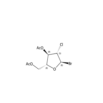 CC(=O)OC[C@H]1O[C@H](Br)[C@@H](Cl)[C@@H]1OC(C)=O